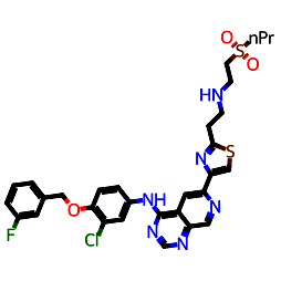 CCCS(=O)(=O)CCNCCc1nc(-c2cc3c(Nc4ccc(OCc5cccc(F)c5)c(Cl)c4)ncnc3cn2)cs1